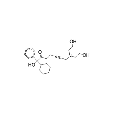 O=C(CCC#CCN(CCO)CCO)C(O)(c1ccccc1)C1CCCCC1